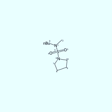 CCCCN(C)S(=O)(=O)N1CCCC1